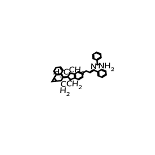 C=C1/C(=C2\C(=C)C3CC3C3=C2C=CCC3)C(C)(C)c2cc(C/C=C(\N=C(/N)c3ccccc3)c3ccccc3)ccc21